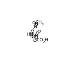 CN1CCN(CCc2ccc(Nc3ncc4c(=O)c(C(=O)O)cn(-c5ccc6c(c5)CCC6)c4n3)cc2)CC1=O